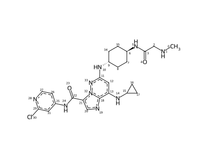 CNCC(=O)N[C@H]1CC[C@H](Nc2cc(NC3CC3)c3ncc(C(=O)Nc4ccnc(Cl)c4)n3n2)CC1